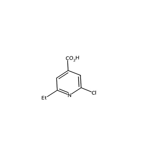 CCc1cc(C(=O)O)cc(Cl)n1